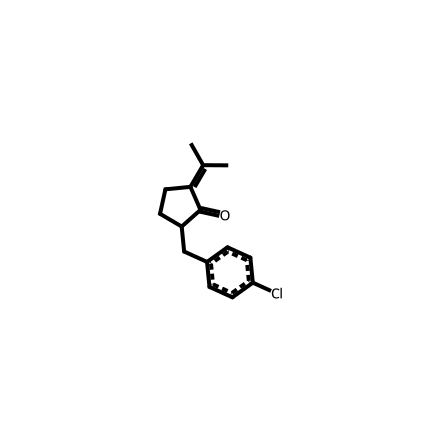 CC(C)=C1CCC(Cc2ccc(Cl)cc2)C1=O